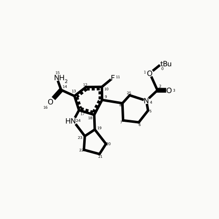 CC(C)(C)OC(=O)N1CCCC(c2c(F)cc(C(N)=O)c3c2C2CCCC2N3)C1